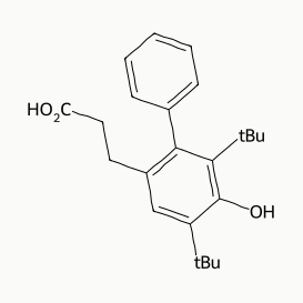 CC(C)(C)c1cc(CCC(=O)O)c(-c2ccccc2)c(C(C)(C)C)c1O